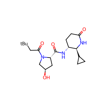 CC(C)(C)CC(=O)N1C[C@H](O)C[C@H]1C(=O)N[C@@H]1CCC(=O)N[C@H]1C1CC1